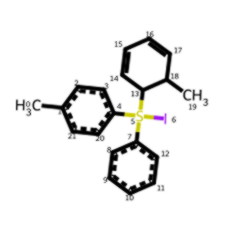 Cc1ccc(S(I)(c2ccccc2)C2C=CC=CC2C)cc1